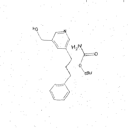 CC(C)(C)OC(N)=O.OCc1cncc(CCCc2ccccc2)c1